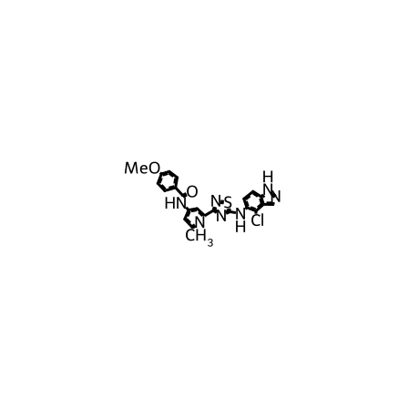 COc1ccc(C(=O)Nc2cc(C)nc(-c3nsc(Nc4ccc5[nH]ncc5c4Cl)n3)c2)cc1